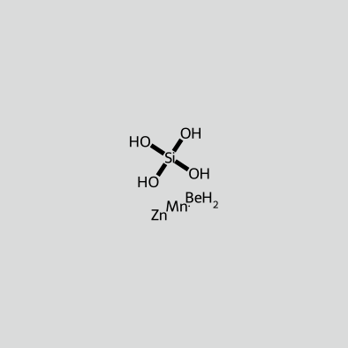 O[Si](O)(O)O.[BeH2].[Mn].[Zn]